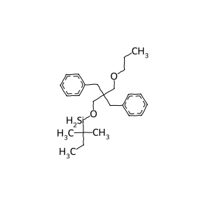 CCCOCC(CO[SiH2]C(C)(C)CC)(Cc1ccccc1)Cc1ccccc1